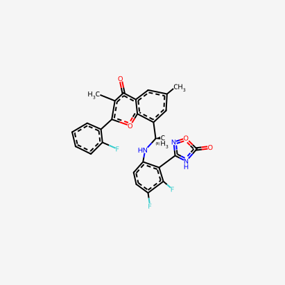 Cc1cc([C@@H](C)Nc2ccc(F)c(F)c2-c2noc(=O)[nH]2)c2oc(-c3ccccc3F)c(C)c(=O)c2c1